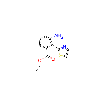 CCOC(=O)c1cccc(N)c1-c1nccs1